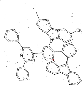 Cc1ccc2c(c1)c1cc(C(F)(F)F)ccc1n2-c1cc(-c2cc(-c3ccccc3)nc(-c3ccccc3)n2)ccc1-c1ccccc1-n1c2ccccc2c2ccccc21